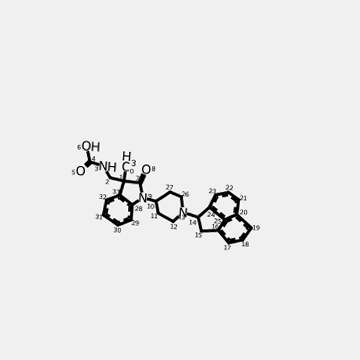 CC1(CNC(=O)O)C(=O)N(C2CCN(C3Cc4cccc5cccc3c45)CC2)c2ccccc21